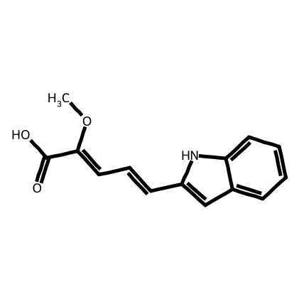 CO/C(=C\C=C\c1cc2ccccc2[nH]1)C(=O)O